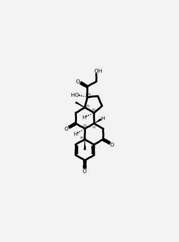 C[C@]12C=CC(=O)C=C1C(=O)C[C@@H]1[C@@H]2C(=O)C[C@@]2(C)[C@H]1CC[C@]2(O)C(=O)CO